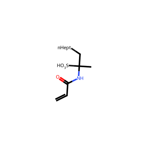 C=CC(=O)NC(C)(CCCCCCCC)S(=O)(=O)O